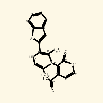 CC1=CNC(c2cc3ccccc3o2)=C(C)N1c1c(C(=O)O)ccoc1=O